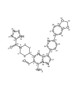 Nc1c(C=O)c(C2CCN(C(=O)c3nnc[nH]3)CC2)nc2c(-c3ccc(-c4ccc5c(c4)OCO5)nc3)cnn12